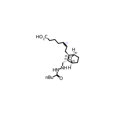 CCCCC(=O)NNC[C@@H]1[C@@H](C/C=C\CCCC(=O)O)[C@H]2CC[C@@H]1O2